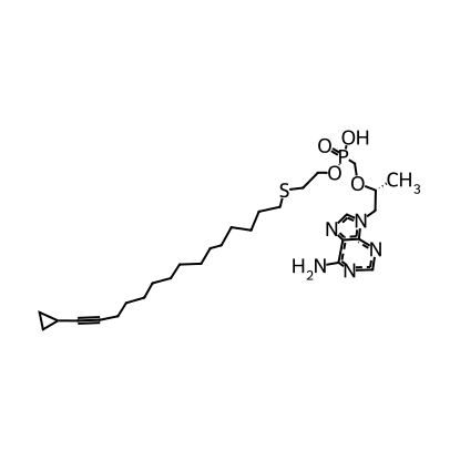 C[C@H](Cn1cnc2c(N)ncnc21)OCP(=O)(O)OCCSCCCCCCCCCCCCCC#CC1CC1